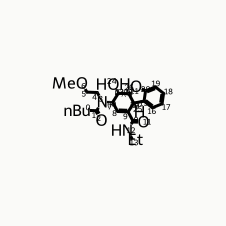 CCCCC(=O)N(CCOC)[C@@H]1C=C(C(=O)NCC)[C@@H]2c3ccccc3O[C@@H]2[C@H]1O